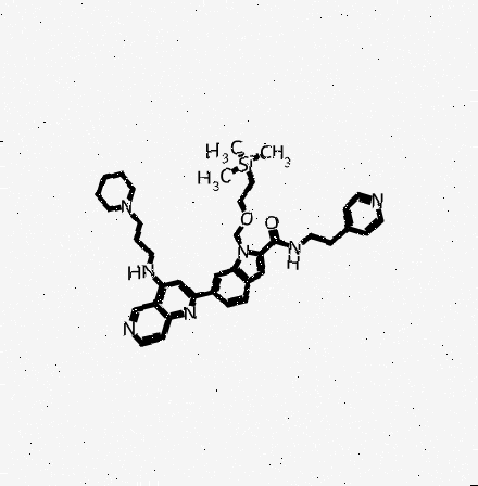 C[Si](C)(C)CCOCn1c(C(=O)NCCc2ccncc2)cc2ccc(-c3cc(NCCCN4CCCCC4)c4cnccc4n3)cc21